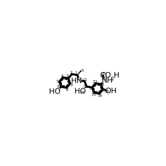 C[C@H](Cc1ccc(O)cc1)NC[C@@H](O)c1ccc(O)c(NC(=O)O)c1